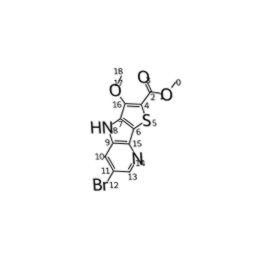 COC(=O)c1sc2c([nH]c3cc(Br)cnc32)c1OC